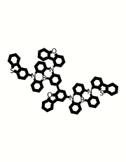 c1ccc2c(c1)B1c3ccccc3N(c3cccc4c3sc3ccccc34)c3cccc(c31)N2c1cc(-c2ccc3c(c2)B2c4ccccc4N(c4ccc5sc6ccccc6c5c4)c4cccc(c42)N3c2cccc3oc4ccccc4c23)c2oc3ccccc3c2c1